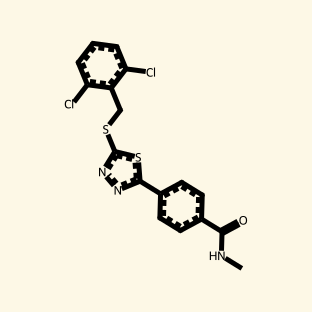 CNC(=O)c1ccc(-c2nnc(SCc3c(Cl)cccc3Cl)s2)cc1